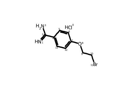 Cl.N=C(N)c1ccc(OCCBr)cc1